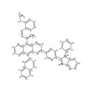 C=C(/C=C\c1ccccc1CC)c1c2ccccc2c(-c2ccc3ccccc3c2)c2cc(-c3ccc(-c4nc5ccccc5n4-c4ccccc4)cc3)ccc12